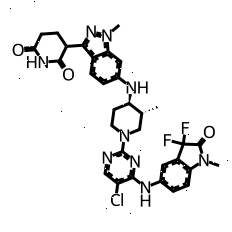 C[C@@H]1CN(c2ncc(Cl)c(Nc3ccc4c(c3)C(F)(F)C(=O)N4C)n2)CC[C@H]1Nc1ccc2c(C3CCC(=O)NC3=O)nn(C)c2c1